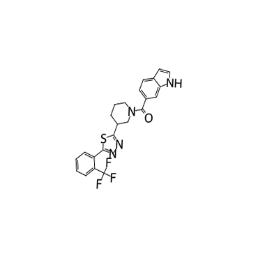 O=C(c1ccc2cc[nH]c2c1)N1CCCC(c2nnc(-c3ccccc3C(F)(F)F)s2)C1